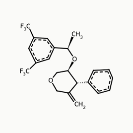 C=C1COC[C@@H](O[C@H](C)c2cc(C(F)(F)F)cc(C(F)(F)F)c2)[C@@H]1c1ccccc1